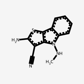 CNn1c2ccccc2c2sc(N)c(C#N)c21